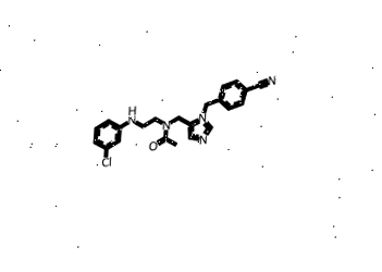 CC(=O)N(CCNc1cccc(Cl)c1)Cc1cncn1Cc1ccc(C#N)cc1